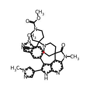 COC(=O)N1CCC(CC#N)(N2CCC3(CC2)C(=O)N(C)c2cnc4[nH]c(-c5cnn(C)c5)c(-c5ccc6c(cnn6C)c5)c4c23)CC1